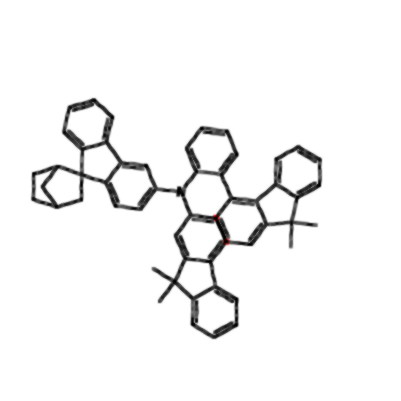 CC1(C)c2ccccc2-c2ccc(N(c3ccc4c(c3)-c3ccccc3C43CC4CCC3C4)c3ccccc3-c3cccc4c3-c3ccccc3C4(C)C)cc21